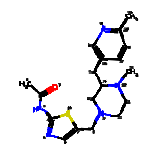 CC(=O)Nc1ncc(CN2CCN(C)C(Cc3ccc(C)nc3)C2)s1